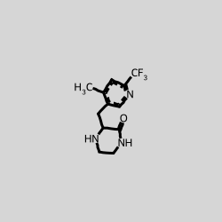 Cc1cc(C(F)(F)F)ncc1CC1NCCNC1=O